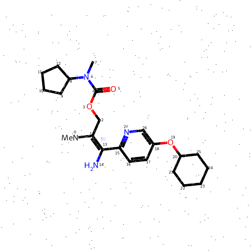 CN/C(COC(=O)N(C)C1CCCC1)=C(\N)c1ccc(OC2CCCCC2)cn1